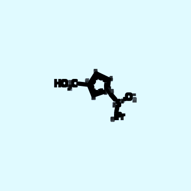 CC(C)[S+]([O-])n1ccc(C(=O)O)c1